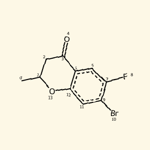 CC1CC(=O)c2cc(F)c(Br)cc2O1